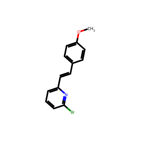 COc1ccc(C=Cc2cccc(Br)n2)cc1